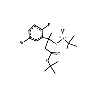 CC(C)(C)OC(=O)CC(C)(N[S@+]([O-])C(C)(C)C)c1cc(Br)ccc1F